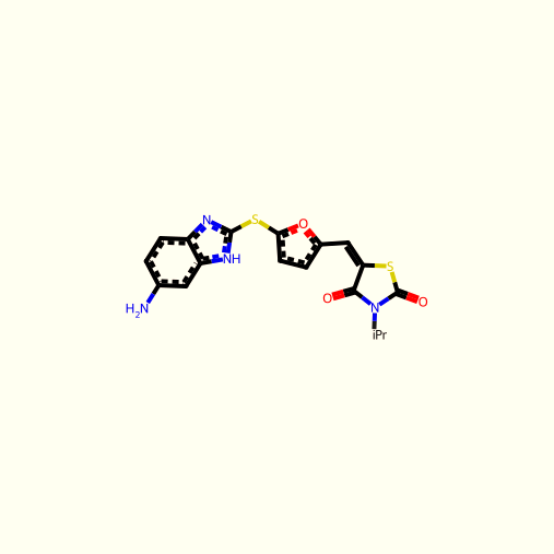 CC(C)N1C(=O)SC(=Cc2ccc(Sc3nc4ccc(N)cc4[nH]3)o2)C1=O